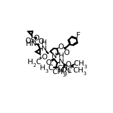 C=C[C@@H]1C[C@]1(NC(=O)[C@@H]1C[C@@H](OC(=O)c2ccc(F)cc2)CN1C(=O)[C@@H](NC(=O)OC(C)(C)C)C(C)(C)C)C(=O)NS(=O)(=O)C1CC1